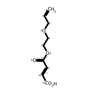 C=CCOCCOC(=O)/C=C/C(=O)O